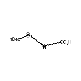 CCCCCCCCCCCCCCCCCCOC(=O)CCCCCCCCCCCCCCCCCN1CCN=C1CCCCCCCCCCCCCCCCC(=O)O